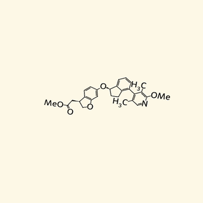 COC(=O)C[C@@H]1COc2cc(O[C@@H]3CCc4c(-c5c(C)cnc(OC)c5C)cccc43)ccc21